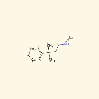 CC(C)(C)NCCC(C)(C)c1ccccc1